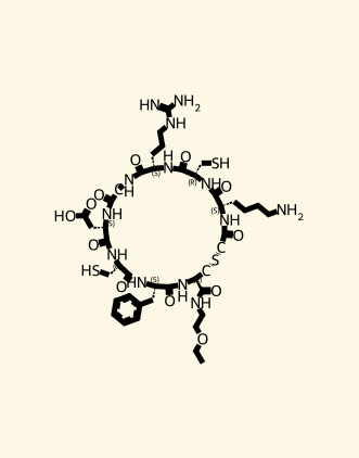 CCOCCNC(=O)[C@@H]1CSCC(=O)N[C@@H](CCCCN)C(=O)N[C@@H](CS)C(=O)N[C@@H](CCCNC(=N)N)C(=O)NCC(=O)N[C@@H](CC(=O)O)C(=O)N[C@@H](CS)C(=O)N[C@@H](Cc2ccccc2)C(=O)N1